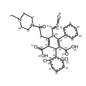 CN1CCN(C(=O)CC2=C(C(=O)O)C(c3c(Cl)cccc3Cl)C(C(=O)O)=C(c3ccccc3)N2C=S=O)CC1